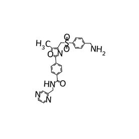 Cc1oc(-c2ccc(C(=O)NCc3cnccn3)cc2)nc1CS(=O)(=O)c1ccc(CN)cc1